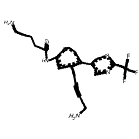 NCC#Cc1cc(NC(=O)CCCN)ccc1-c1cnc(C(F)(F)F)nc1